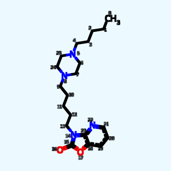 CCCCCN1CCN(CCCCCn2c(=O)oc3cccnc32)CC1